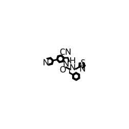 N#Cc1cc(-c2ccncc2)cc2c1CCN2C(=O)[C@H](Cc1ccccc1)NCc1cscn1